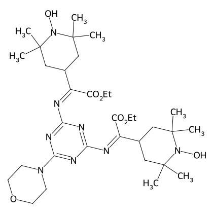 CCOC(=O)/C(=N\c1nc(/N=C(\C(=O)OCC)C2CC(C)(C)N(O)C(C)(C)C2)nc(N2CCOCC2)n1)C1CC(C)(C)N(O)C(C)(C)C1